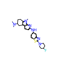 CN(C)C1CCc2c(c3ccc(Nc4ccc5sc(N6CCC(F)CC6)nc5c4)nc3n2C)C1